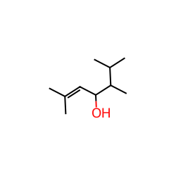 CC(C)=CC(O)C(C)C(C)C